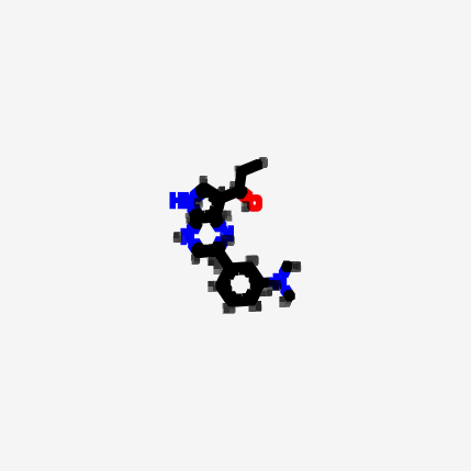 CCC(=O)c1c[nH]c2ncc(-c3cccc(N(C)C)c3)nc12